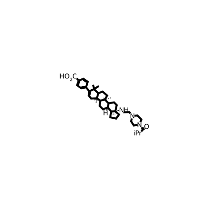 CC(C)C(=O)N1CCN(CCN[C@]23CCCC2[C@H]2CCC4[C@@](C)(CCC5C(C)(C)C(c6ccc(C(=O)O)cc6)=CC[C@@]54C)C2CC3)CC1